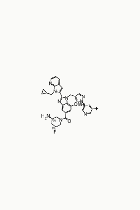 COc1cc(C(=O)N2C[C@H](N)C[C@@H](F)C2)cc2nc(-c3cc4cccnc4n3CC3CC3)n(Cc3cnn(-c4cncc(F)c4)c3)c12